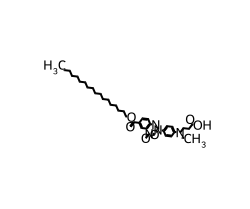 CCCCCCCCCCCCCCCCCCOC(=O)c1ccc(N=Nc2ccc(N(CC)CCC(=O)O)cc2)c([N+](=O)[O-])c1